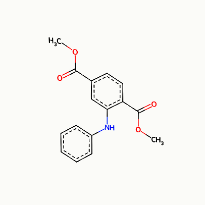 COC(=O)c1ccc(C(=O)OC)c(Nc2ccccc2)c1